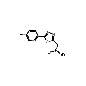 CCCN(CC)Cc1nnc(-c2ccc(C)cc2)o1